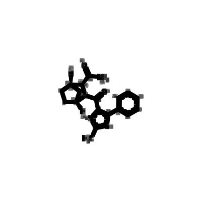 Cc1nc(C(=O)N2[C@@H]3CC[C@@H](C3)[C@H]2C(N)=O)c(-c2ccccc2)s1